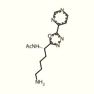 CC(=O)N[C@@H](CCCCN)c1nnc(-c2ccncn2)o1